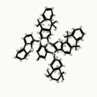 Cc1cc2c3c(c1)N(c1cccc4c1oc1ccccc14)c1cc4c(cc1B3c1sc3c5c(ccc3c1N2c1ccc2c(c1)C(C)(C)CCC2(C)C)C(C)(C)c1ccccc1C5(C)C)C(C)(C)c1ccccc1C4(C)C